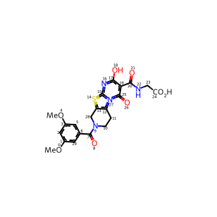 COc1cc(OC)cc(C(=O)N2CCc3c(sc4nc(O)c(C(=O)NCC(=O)O)c(=O)n34)C2)c1